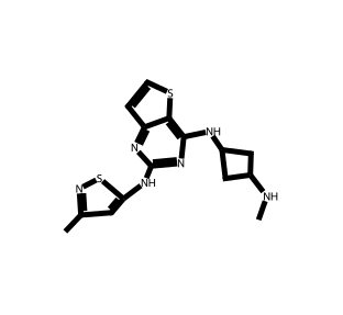 CNC1CC(Nc2nc(Nc3cc(C)ns3)nc3ccsc23)C1